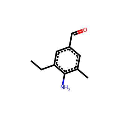 CCc1cc(C=O)cc(C)c1N